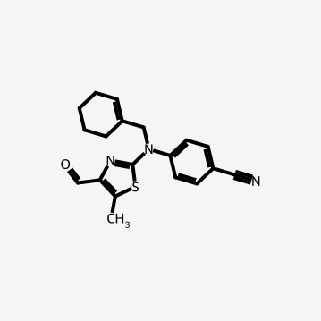 Cc1sc(N(CC2=CCCCC2)c2ccc(C#N)cc2)nc1C=O